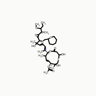 CCC(OC)[C@@H](C)C1OC1C(NCC1CCCCCC1)C(C)(O)/C=C/C=C(\C)[C@H]1OC(=O)CC(O)CCC(C)(O)[C@@H](OC(C)=O)/C=C/C1C